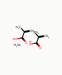 C=C(C)C(=O)O.C=C(C)C(=O)O.[SeH2]